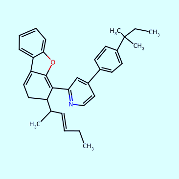 CCC=CC(C)C1CC=c2c(oc3ccccc23)=C1c1cc(-c2ccc(C(C)(C)CC)cc2)ccn1